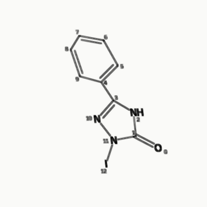 O=c1[nH]c(-c2ccccc2)nn1I